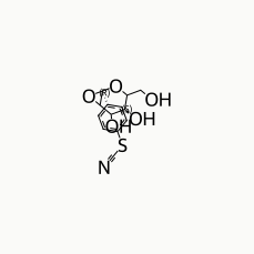 N#CSc1ccc([C@]23OC(CO)[C@@H](O)C(O)C2O3)cc1